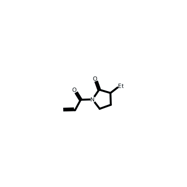 C=CC(=O)N1CCC(CC)C1=O